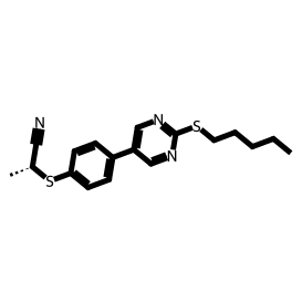 CCCCCSc1ncc(-c2ccc(S[C@H](C)C#N)cc2)cn1